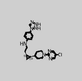 Clc1cnc(N2CCC([C@H]3C[C@H]3CCNc3ccc(N4C=NNN4)cc3)CC2)nc1